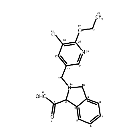 O=CC(=O)C1c2ccccc2CN1Cc1cnc(OCC(F)(F)F)c(Cl)c1